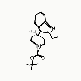 CCn1nc2ccccc2c1C1(O)CCN(C(=O)OC(C)(C)C)CC1